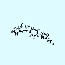 CC(Oc1nnnn1C)c1ccc(-c2noc(C(F)(F)F)n2)cc1